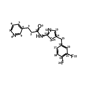 O=C(CCc1cccnc1)Nc1ncc(Cc2ccc(F)c(F)c2)s1